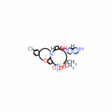 C[C@@H]1[C@@H](C)CCC[C@@](O)(CN2CCN3CCNC[C@@H]3C2)[C@@H]2CC[C@H]2CN2CCCCc3cc(Cl)ccc3CCOc3ccc(cc32)C(=O)NS1(=O)=O